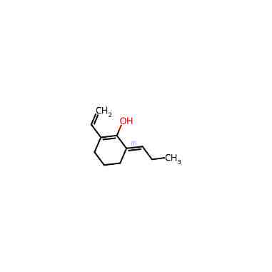 C=CC1=C(O)/C(=C/CC)CCC1